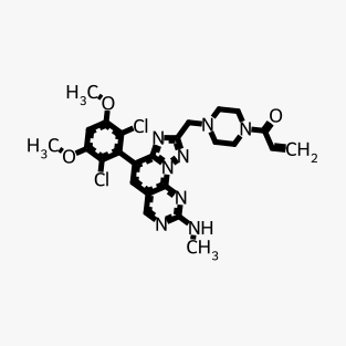 C=CC(=O)N1CCN(Cc2nc3c(-c4c(Cl)c(OC)cc(OC)c4Cl)cc4cnc(NC)nc4n3n2)CC1